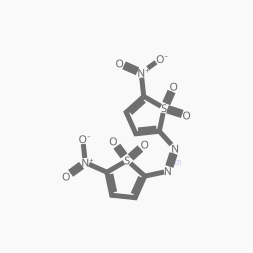 O=[N+]([O-])C1=CC=C(/N=N\C2=CC=C([N+](=O)[O-])S2(=O)=O)S1(=O)=O